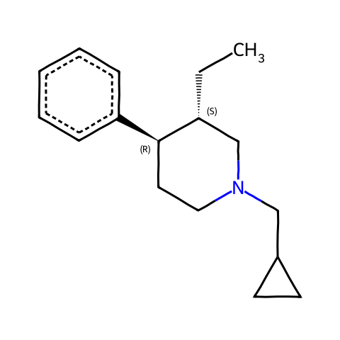 CC[C@@H]1CN(CC2CC2)CC[C@H]1c1ccccc1